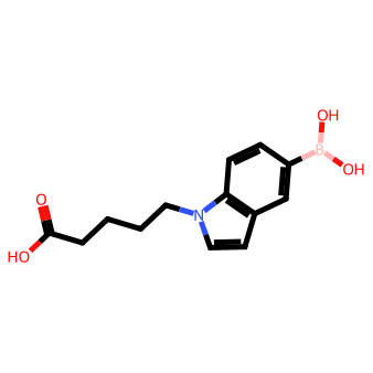 O=C(O)CCCCn1ccc2cc(B(O)O)ccc21